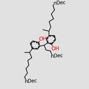 CCCCCCCCCCCCCCCCC(C)c1ccc(O)c(C(CCCCCCCCCCCC)c2cc(C(C)CCCCCCCCCCCCCCCC)ccc2O)c1